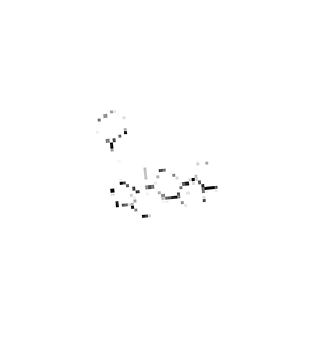 C[C@]12CCC(=O)C(O)=C1CC[C@H]1[C@@H]3[C@@H](COC4CCCCO4)CC(=O)[C@@]3(C)CC[C@@H]12